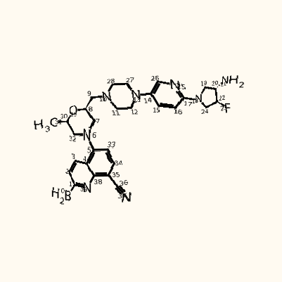 Bc1ccc2c(N3C[C@H](CN4CCN(c5ccc(N6C[C@H](N)[C@@H](F)C6)nc5)CC4)O[C@H](C)C3)ccc(C#N)c2n1